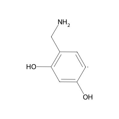 NCc1c[c]c(O)cc1O